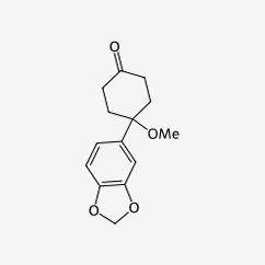 COC1(c2ccc3c(c2)OCO3)CCC(=O)CC1